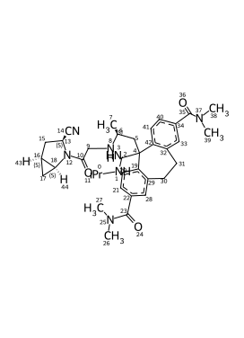 CC(C)NC(=N)C1(C[C@H](C)NCC(=O)N2[C@H](C#N)C[C@@H]3C[C@@H]32)c2ccc(C(=O)N(C)C)cc2CCc2cc(C(=O)N(C)C)ccc21